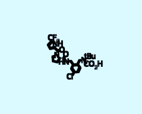 CC(C)(C)N(Cc1ccc(Cl)cc1CNC(=O)[C@@H]1CCCN1C(=O)c1ccc(C(F)(F)F)[nH]1)C(=O)O